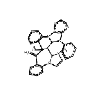 C=C1c2ccccc2N2C=CN(C)C2C2C3N(c4ccccc4)c4nccnc4N3c3ccccc3C12C